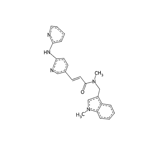 CN(Cc1cn(C)c2ccccc12)C(=O)C=Cc1ccc(Nc2ccccn2)nc1